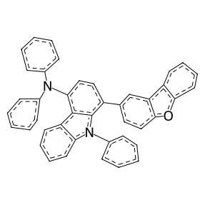 c1ccc(N(c2ccccc2)c2ccc(-c3ccc4oc5ccccc5c4c3)c3c2c2ccccc2n3-c2ccccc2)cc1